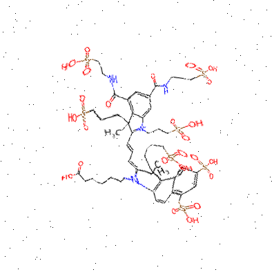 CC1(CCCS(=O)(=O)O)C(/C=C/C=C2/N(CCCCCC(=O)O)c3ccc4c(S(=O)(=O)O)cc(S(=O)(=O)O)cc4c3C2(C)CCCS(=O)(=O)O)=[N+](CCCS(=O)(=O)O)c2cc(C(=O)NCCS(=O)(=O)O)cc(C(=O)NCCS(=O)(=O)O)c21